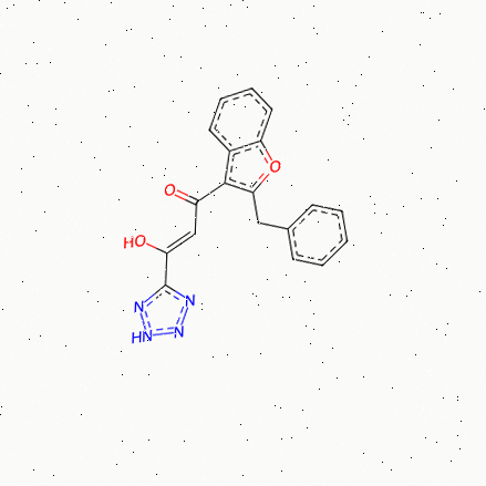 O=C(C=C(O)c1nn[nH]n1)c1c(Cc2ccccc2)oc2ccccc12